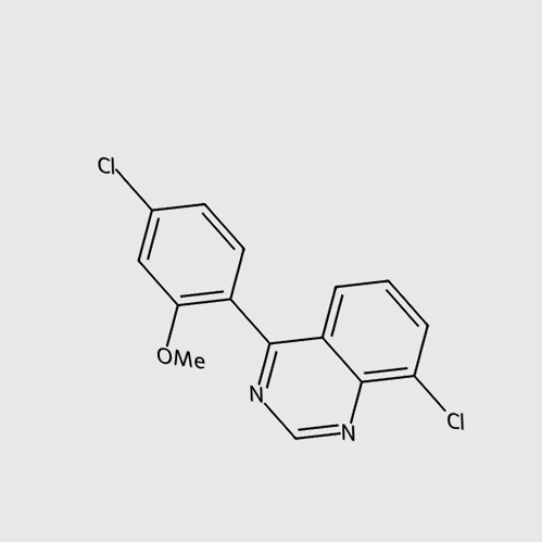 COc1cc(Cl)ccc1-c1ncnc2c(Cl)cccc12